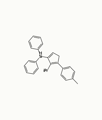 Cc1ccc(C2=C(C(C)C)C([SiH](c3ccccc3)c3ccccc3)=CC2)cc1